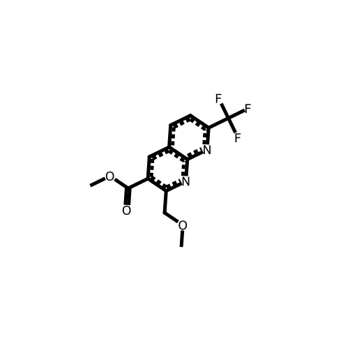 COCc1nc2nc(C(F)(F)F)ccc2cc1C(=O)OC